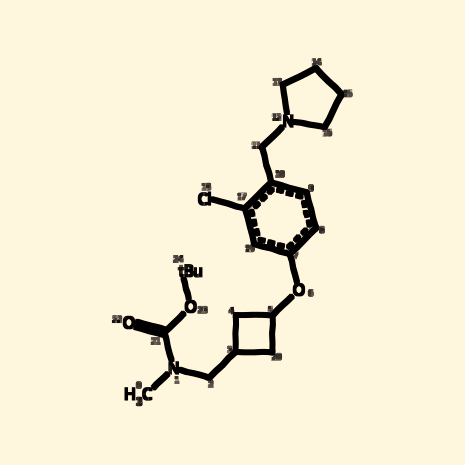 CN(CC1CC(Oc2ccc(CN3CCCC3)c(Cl)c2)C1)C(=O)OC(C)(C)C